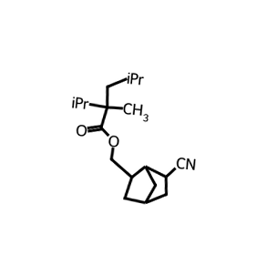 CC(C)CC(C)(C(=O)OCC1CC2CC(C#N)C1C2)C(C)C